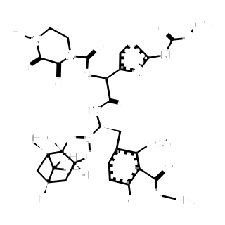 CCN1CCN(C(=O)NC(C(=O)N[C@@H](Cc2ccc(Cl)c(C(=O)OC(C)(C)C)c2OC)B2O[C@@H]3C[C@@H]4C[C@@H](C4(C)C)[C@]3(C)O2)c2csc(NC(=O)OC(C)(C)C)n2)C(=O)C1=O